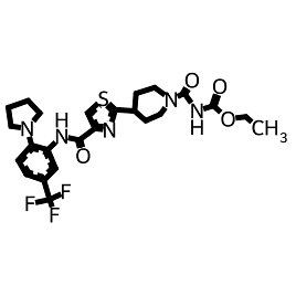 CCOC(=O)NC(=O)N1CCC(c2nc(C(=O)Nc3cc(C(F)(F)F)ccc3N3CCCC3)cs2)CC1